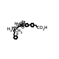 CCc1cc(-c2ccc(CCC(=O)O)cc2)ccc1S(=O)(=O)N(C)CC(O)CNC(C)(C)CCCc1ccccc1F